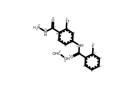 CCc1cc(NC(=O)c2ccccc2F)ccc1C(=O)NN.O=CO